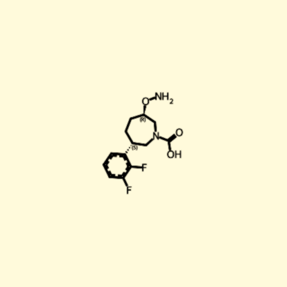 NO[C@@H]1CC[C@@H](c2cccc(F)c2F)CN(C(=O)O)C1